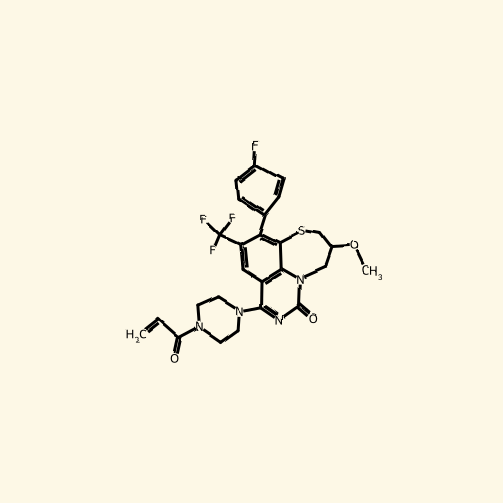 C=CC(=O)N1CCN(c2nc(=O)n3c4c(c(-c5ccc(F)cc5)c(C(F)(F)F)cc24)SCC(OC)C3)CC1